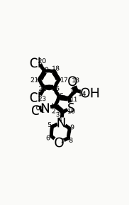 [C-]#[N+]c1c(N2CCOCC2)sc(C(=O)O)c1-c1ccc(Cl)cc1Cl